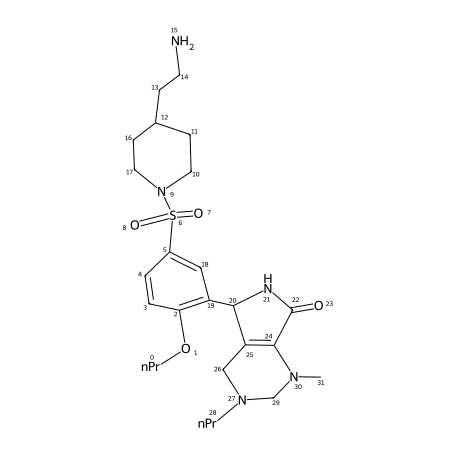 CCCOc1ccc(S(=O)(=O)N2CCC(CCN)CC2)cc1C1NC(=O)C2=C1CN(CCC)CN2C